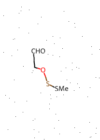 CSSOCC=O